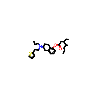 CCCC(C)C(CC)CC(=O)Oc1cccc2c1CCC(N(CCC)CCc1cccs1)C2